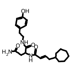 NC(=O)CC(NC(=O)C=CCC1CCCCCC1)C(=O)NCCc1ccc(O)cc1